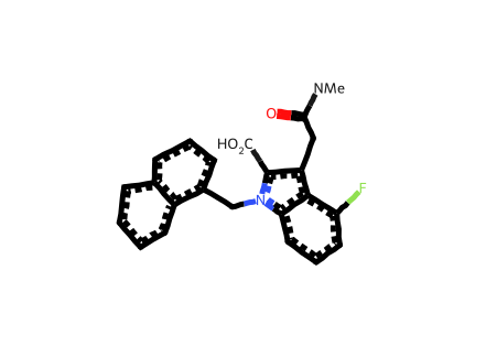 CNC(=O)Cc1c(C(=O)O)n(Cc2cccc3ccccc23)c2cccc(F)c12